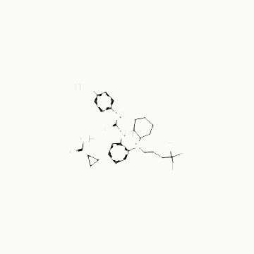 Cc1ccc(NC(=O)Nc2cc([C@@H]3C[C@@H]3C(=O)O)ccc2N(CCCC(F)(F)F)C2CCCCC2)cc1